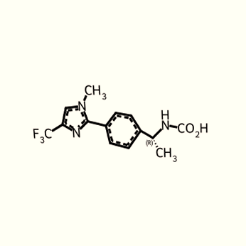 C[C@@H](NC(=O)O)c1ccc(-c2nc(C(F)(F)F)cn2C)cc1